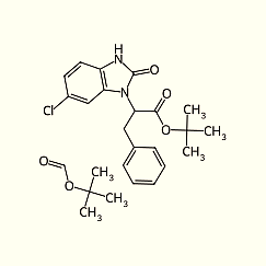 CC(C)(C)OC(=O)C(Cc1ccccc1)n1c(=O)[nH]c2ccc(Cl)cc21.CC(C)(C)OC=O